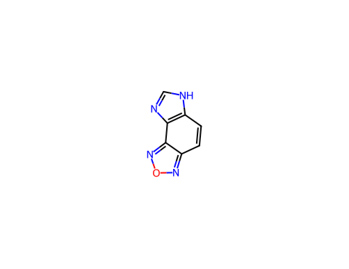 c1nc2c(ccc3nonc32)[nH]1